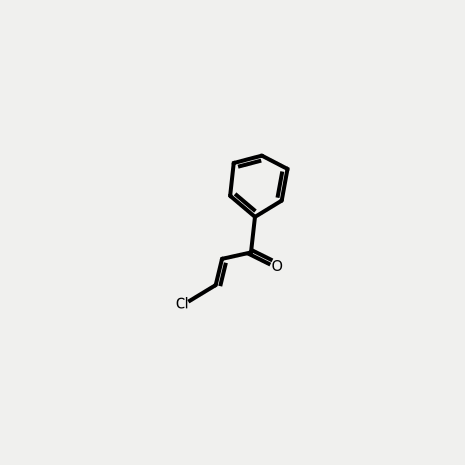 O=C(C=CCl)c1ccccc1